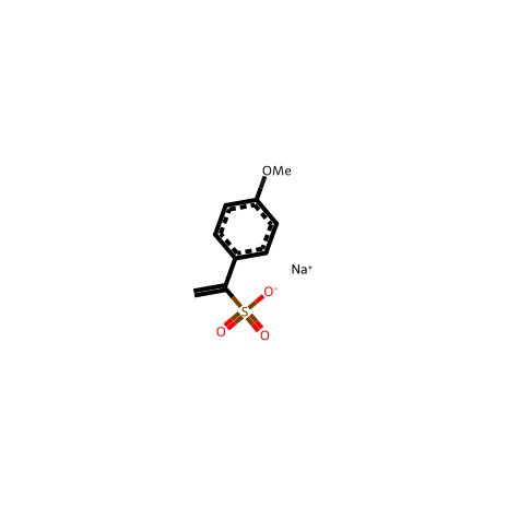 C=C(c1ccc(OC)cc1)S(=O)(=O)[O-].[Na+]